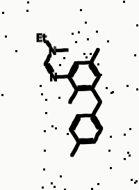 CCN(C)/C=N\c1cc(C)cc(Cc2ccc(C)cc2)c1C